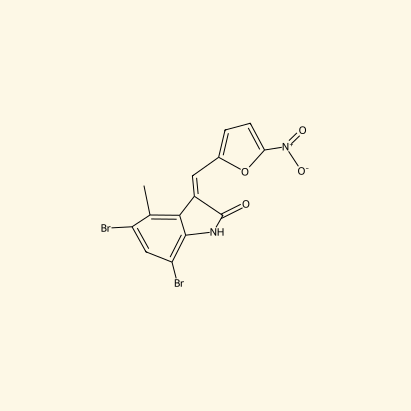 Cc1c(Br)cc(Br)c2c1C(=Cc1ccc([N+](=O)[O-])o1)C(=O)N2